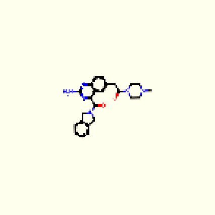 CN1CCN(C(=O)Cc2ccc3nc(N)nc(C(=O)N4Cc5ccccc5C4)c3c2)CC1